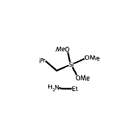 CCN.CO[Si](CC(C)C)(OC)OC